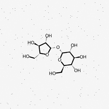 OC[C@H]1O[C@H](O[C@@H]2O[C@H](CO)[C@@H](O)[C@@H]2O)[C@H](O)[C@@H](O)[C@@H]1O